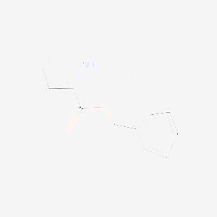 Cl.N[C@@H](CS)C(=O)OCc1ccccc1